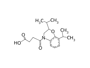 CC(C)c1cccc2c1OC(C(C)C)CN2C(=O)CCC(=O)O